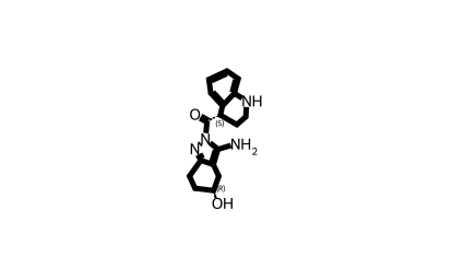 Nc1c2c(nn1C(=O)[C@H]1CCNc3ccccc31)CC[C@@H](O)C2